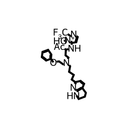 CC(=O)C(CCN(CCCCc1ccc2c(n1)NCCC2)CCOc1ccccc1)Nc1ccnc(C(F)(F)F)[n+]1O